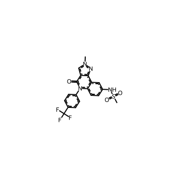 Cn1cc2c(=O)n(-c3ccc(C(F)(F)F)cc3)c3ccc(NS(C)(=O)=O)cc3c2n1